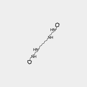 c1ccc(CNCCCCNCCCCCCCCNCCCCNCc2ccccc2)cc1